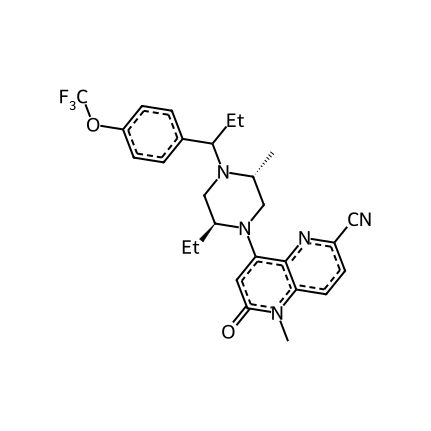 CCC(c1ccc(OC(F)(F)F)cc1)N1C[C@H](CC)N(c2cc(=O)n(C)c3ccc(C#N)nc23)C[C@H]1C